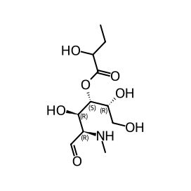 CCC(O)C(=O)O[C@@H]([C@H](O)[C@H](C=O)NC)[C@H](O)CO